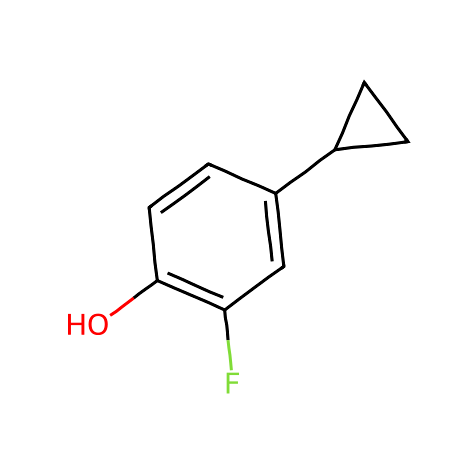 Oc1ccc(C2CC2)cc1F